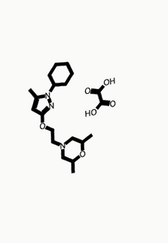 Cc1cc(OCCN2CC(C)OC(C)C2)nn1C1CCCCC1.O=C(O)C(=O)O